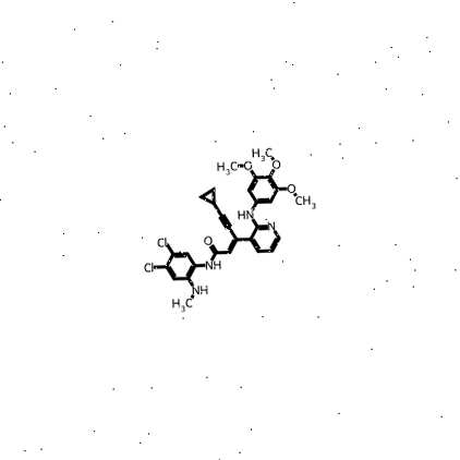 CNc1cc(Cl)c(Cl)cc1NC(=O)/C=C(\C#CC1CC1)c1cccnc1Nc1cc(OC)c(OC)c(OC)c1